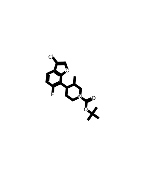 CC1CN(C(=O)OC(C)(C)C)CCC1c1c(F)ccc2c(Cl)coc12